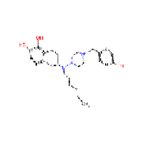 CCCCCCN(C1CCc2c(ccc(O)c2O)C1)N1CCN(Cc2ccc(O)cc2)CC1